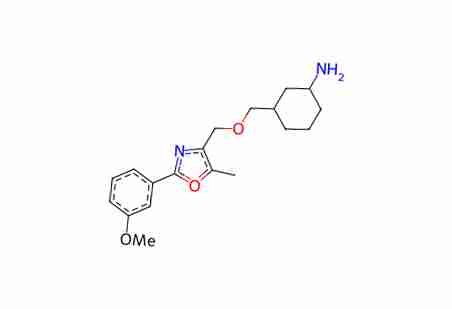 COc1cccc(-c2nc(COCC3CCCC(N)C3)c(C)o2)c1